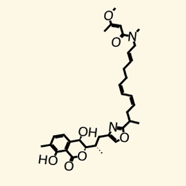 CO/C(C)=C/C(=O)N(C)C/C=C/CC/C=C\C=C/CC(C)c1nc(C[C@H](C)[C@@H]2OC(=O)c3c(ccc(C)c3O)[C@H]2O)co1